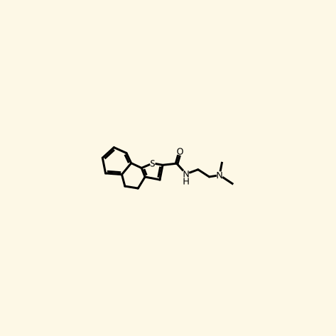 CN(C)CCNC(=O)c1cc2c(s1)-c1ccccc1CC2